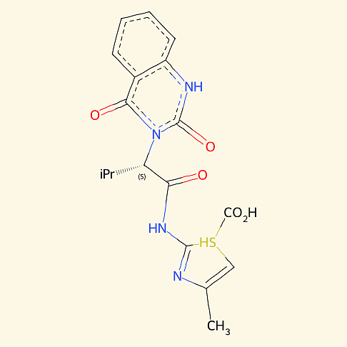 CC1=C[SH](C(=O)O)C(NC(=O)[C@H](C(C)C)n2c(=O)[nH]c3ccccc3c2=O)=N1